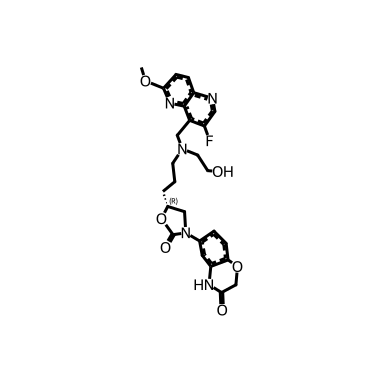 COc1ccc2ncc(F)c(CN(CCO)CCC[C@@H]3CN(c4ccc5c(c4)NC(=O)CO5)C(=O)O3)c2n1